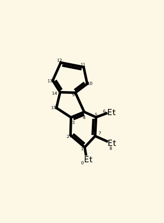 CCc1[c]c2c(c(CC)c1CC)-c1ccccc1C2